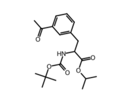 CC(=O)c1cccc(CC(NC(=O)OC(C)(C)C)C(=O)OC(C)C)c1